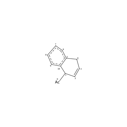 CC(=O)C1C=C[CH]c2ccccc21